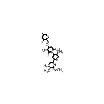 C=C/C(=N\C(CC)=N/C)c1cc(-n2c(C)cc(OCc3ncc(F)cc3F)c(Cl)c2=O)c(C)cn1